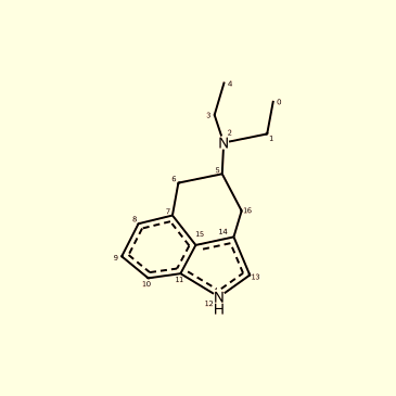 CCN(CC)C1Cc2cccc3[nH]cc(c23)C1